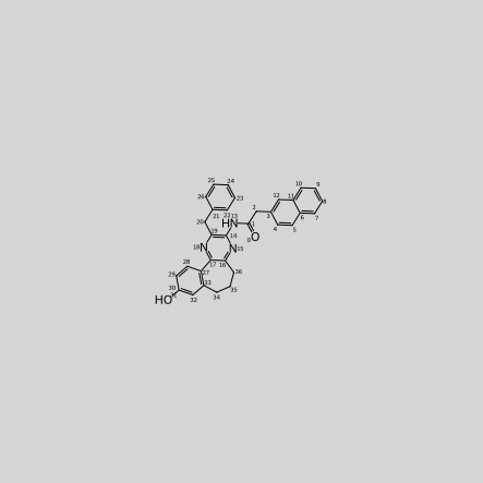 O=C(Cc1ccc2ccccc2c1)Nc1nc2c(nc1Cc1ccccc1)-c1ccc(O)cc1CCC2